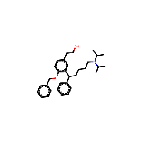 CC(C)N(CCCCC(c1ccccc1)c1cc(CCO)ccc1OCc1ccccc1)C(C)C